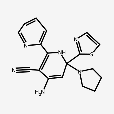 N#CC1=C(c2ccccn2)NC(c2nccs2)(N2CCCC2)C=C1N